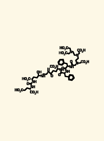 O=C(O)CC[C@H](NC(=O)N[C@@H](CCC(O)NCCNC(=O)CC[C@@H](NC(=O)C(Cc1ccccc1)NC(=O)C(Cc1ccccc1)NC(=O)CN(CCN(CCN(CC(=O)O)CC(=O)O)CC(=O)O)CC(=O)O)C(=O)O)C(=O)O)C(=O)O